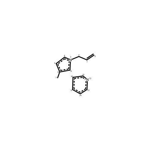 C=CCn1ccc(C)c1.c1ccncc1